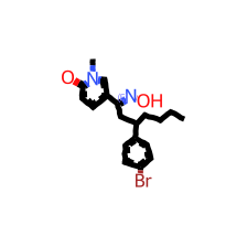 CCCCC(C/C(=N\O)c1ccc(=O)n(C)c1)c1ccc(Br)cc1